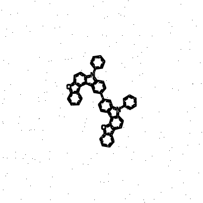 c1ccc(-n2c3cc(-c4ccc5c(c4)c4c6c(ccc4n5-c4ccccc4)oc4ccccc46)ccc3c3c4oc5ccccc5c4ccc32)cc1